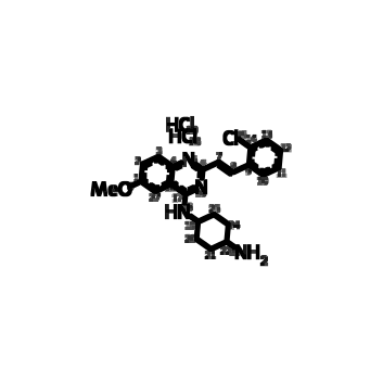 COc1ccc2nc(C=Cc3ccccc3Cl)nc(NC3CCC(N)CC3)c2c1.Cl.Cl